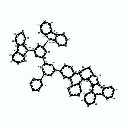 c1ccc(-c2cc(-c3ccc4c(c3)c3ccccc3c3c4ccc4sc5c6ccccc6c6ccccc6c5c43)nc(-c3cc(-n4c5ccccc5c5ccccc54)cc(-n4c5ccccc5c5ccccc54)c3)n2)cc1